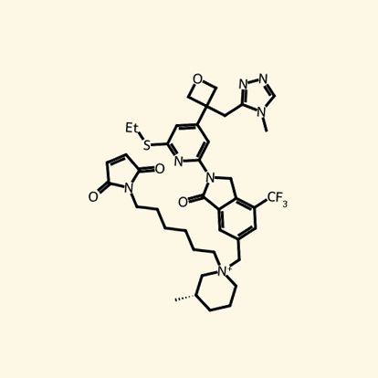 CCSc1cc(C2(Cc3nncn3C)COC2)cc(N2Cc3c(cc(C[N+]4(CCCCCCN5C(=O)C=CC5=O)CCC[C@H](C)C4)cc3C(F)(F)F)C2=O)n1